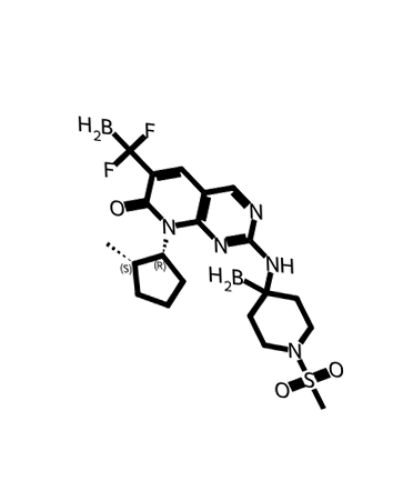 BC1(Nc2ncc3cc(C(B)(F)F)c(=O)n([C@@H]4CCC[C@@H]4C)c3n2)CCN(S(C)(=O)=O)CC1